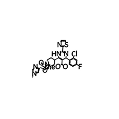 COC(=O)C1=C(C2CCN(S(=O)(=O)c3cn(C)cn3)CC2)NC(c2nccs2)=NC1c1ccc(F)cc1Cl